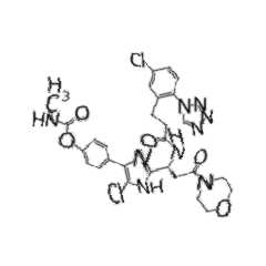 CNC(=O)Oc1ccc(-c2nc([C@H](CC(=O)N3CCOCC3)NC(=O)CCc3cc(Cl)ccc3-n3cnnn3)[nH]c2Cl)cc1